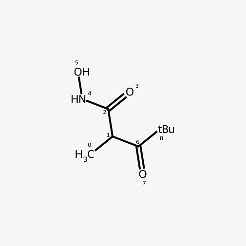 CC(C(=O)NO)C(=O)C(C)(C)C